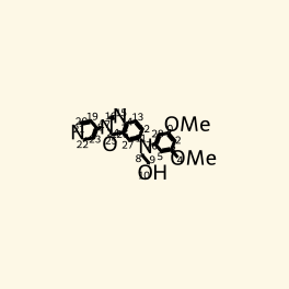 COc1cc(OC)cc(N(CCO)c2ccc3ncn(-c4ccncc4)c(=O)c3c2)c1